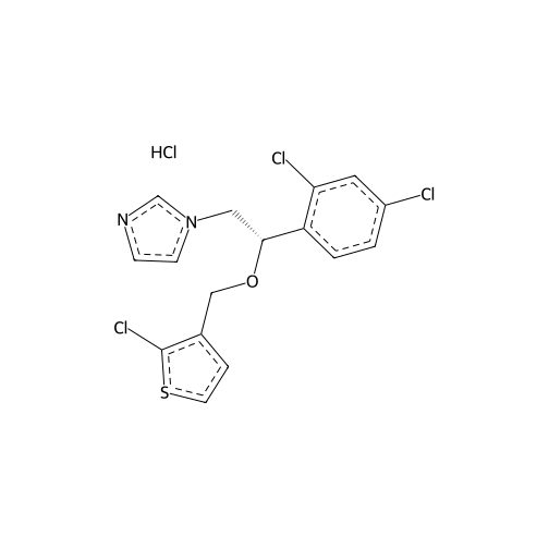 Cl.Clc1ccc([C@@H](Cn2ccnc2)OCc2ccsc2Cl)c(Cl)c1